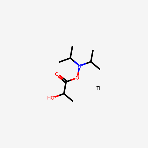 CC(O)C(=O)ON(C(C)C)C(C)C.[Ti]